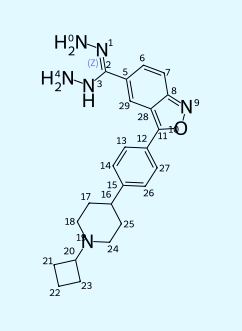 N/N=C(\NN)c1ccc2noc(-c3ccc(C4CCN(C5CCC5)CC4)cc3)c2c1